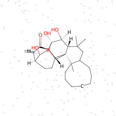 C=C1C(=O)[C@]23[C@H](O)[C@H]1CC[C@H]2[C@@]12CO[C@@]3(O)[C@@H](O)[C@@H]1C(C)(C)CC1CCCCCCCC12C